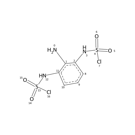 Nc1c(NS(=O)(=O)Cl)cccc1NS(=O)(=O)Cl